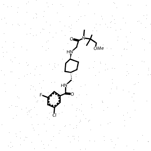 COCC(C)(C)N(C)C(=O)CN[C@H]1CC[C@H](CNC(=O)c2cc(F)cc(Cl)c2)CC1